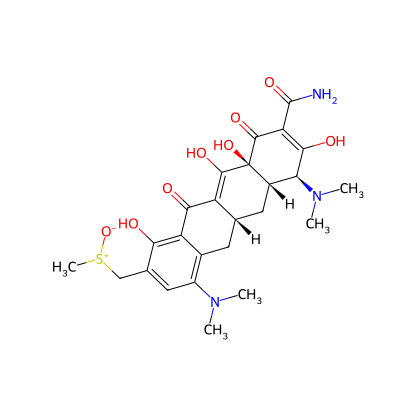 CN(C)c1cc(C[S+](C)[O-])c(O)c2c1C[C@H]1C[C@H]3[C@H](N(C)C)C(O)=C(C(N)=O)C(=O)[C@@]3(O)C(O)=C1C2=O